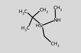 CC[SiH](NC)C(C)(C)C